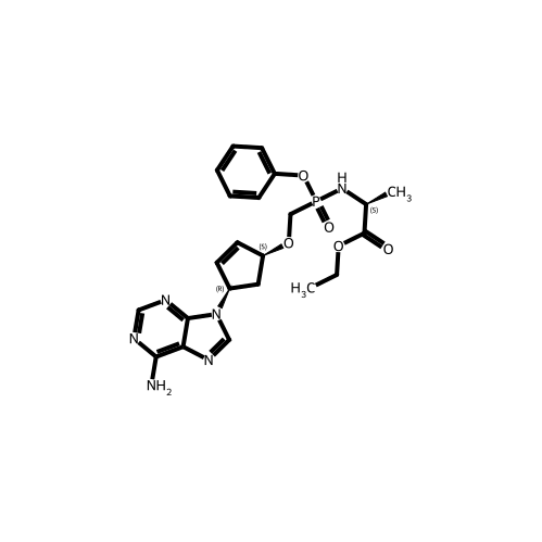 CCOC(=O)[C@H](C)NP(=O)(CO[C@@H]1C=C[C@H](n2cnc3c(N)ncnc32)C1)Oc1ccccc1